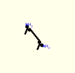 CCCCCCC(c1ccc(N)cc1)c1ccc(CCCCCCCCCCCCCc2ccc(C(CCCCCC)c3ccc(N)cc3)cc2)cc1